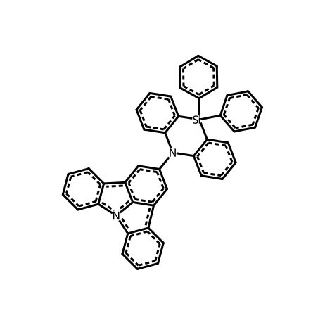 c1ccc([Si]2(c3ccccc3)c3ccccc3N(c3cc4c5ccccc5n5c6ccccc6c(c3)c45)c3ccccc32)cc1